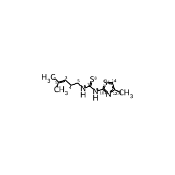 CC(C)=CCCNC(=S)Nc1nc(C)cs1